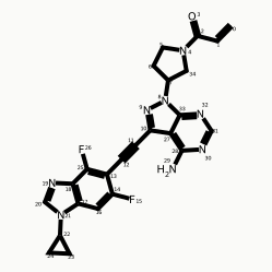 C=CC(=O)N1CCC(n2nc(C#Cc3c(F)cc4c(ncn4C4CC4)c3F)c3c(N)ncnc32)C1